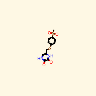 CS(=O)(=O)c1ccc(SCc2c[nH]c(=O)c(=O)[nH]2)cc1